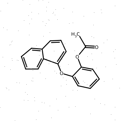 CC(=O)Oc1ccccc1Oc1cccc2ccccc12